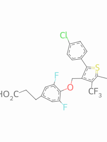 Cc1sc(-c2ccc(Cl)cc2)c(COc2c(F)cc(CCC(=O)O)cc2F)c1C(F)(F)F